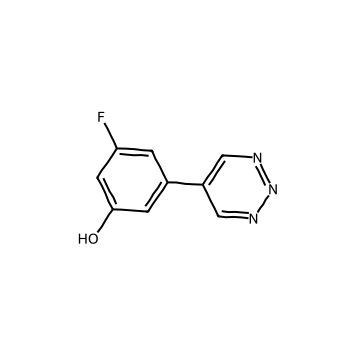 Oc1cc(F)cc(-c2cnnnc2)c1